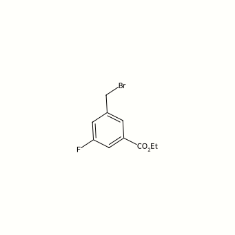 CCOC(=O)c1cc(F)cc(CBr)c1